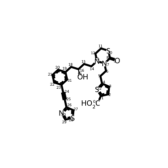 O=C(O)c1ccc(CCN2C(=O)SCCN2CC[C@@H](O)Cc2cccc(C#Cc3cscn3)c2)s1